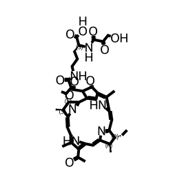 CC[C@H]1c2cc3[nH]c4c(c3C)C(=O)C(C(=O)OC)c4c3nc(cc4[nH]c(cc(n2)[C@@H]1C)c(C(C)=O)c4C)[C@@H](C)[C@@H]3CCC(=O)NCCC[C@H](NC(=O)C(=O)CO)C(=O)O